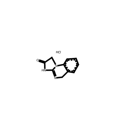 Cl.O=C1CN2C(=NCc3ccccc32)N1